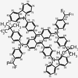 CC(C)(C)c1ccc(N(c2ccc(C(F)F)cc2)c2ccc3c(-c4ccc(-n5c6ccccc6c6ccccc65)cc4)c4cc(N(c5ccc(C(F)F)cc5)c5ccc(C(C)(C)C)cc5)ccc4c(-c4ccc(-n5c6ccccc6c6ccccc65)cc4)c3c2)cc1